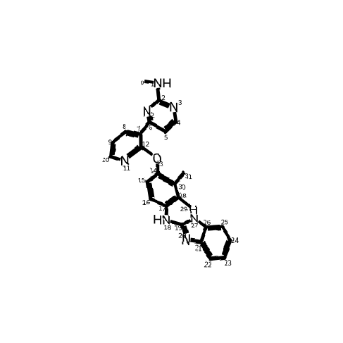 CNc1nccc(-c2cccnc2Oc2ccc(Nc3nc4ccccc4[nH]3)c(C)c2C)n1